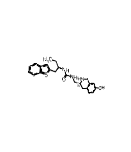 CCC(Cc1cc2ccccc2s1)NC(=O)NC[C@@H]1Cc2ccc(O)cc2CN1